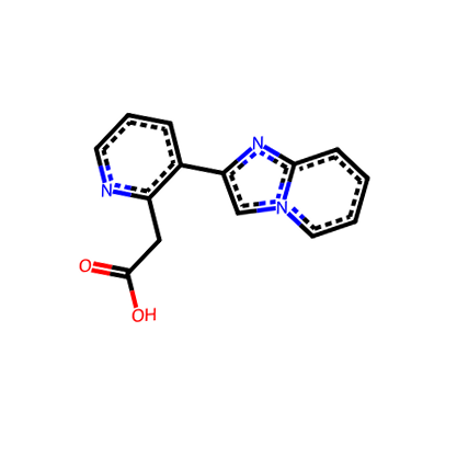 O=C(O)Cc1ncccc1-c1cn2ccccc2n1